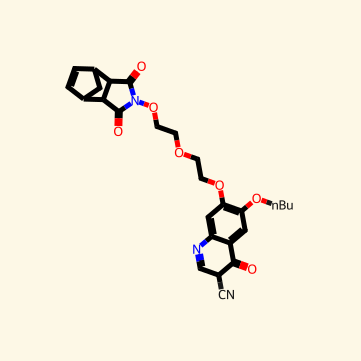 CCCCOc1cc2c(cc1OCCOCCON1C(=O)C3C4C=CC(C4)C3C1=O)N=CC(C#N)C2=O